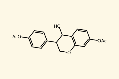 CC(=O)Oc1ccc(C2COc3cc(OC(C)=O)ccc3C2O)cc1